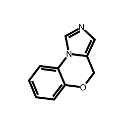 c1ccc2c(c1)OCc1cncn1-2